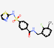 O=C(NCc1cccc(C(F)(F)F)c1F)c1ccc(S(=O)(=O)Nc2nccs2)cc1